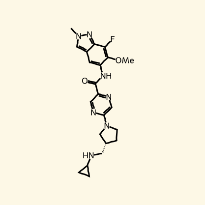 COc1c(NC(=O)c2cnc(N3CC[C@H](CNC4CC4)C3)cn2)cc2cn(C)nc2c1F